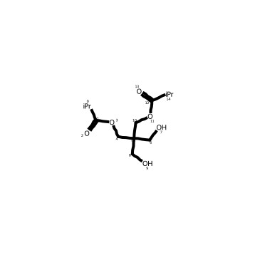 CC(C)C(=O)OCC(CO)(CO)COC(=O)C(C)C